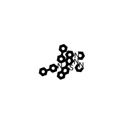 c1ccc(-c2ccc(N(c3ccc(-c4ccccc4)cc3)c3c4ccccc4cc4sc5c(N(c6ccccn6)c6ccccn6)c6ccccc6cc5c34)cc2)cc1